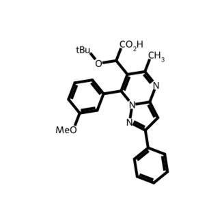 COc1cccc(-c2c(C(OC(C)(C)C)C(=O)O)c(C)nc3cc(-c4ccccc4)nn23)c1